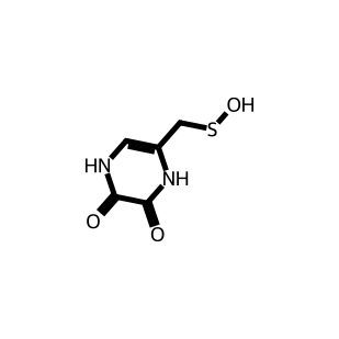 O=c1[nH]cc(CSO)[nH]c1=O